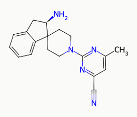 Cc1cc(C#N)nc(N2CCC3(CC2)c2ccccc2C[C@H]3N)n1